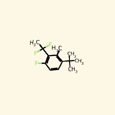 Cc1c(C(C)(C)C)ccc(F)c1C(C)(F)F